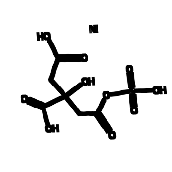 O=C(O)CC(O)(CC(=O)OS(=O)(=O)O)C(=O)O.[Ni]